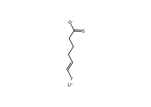 [Li+].[O-]C(=S)CCCC=CF